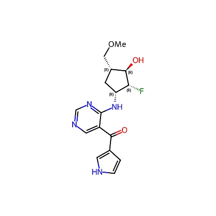 COC[C@H]1C[C@@H](Nc2ncncc2C(=O)c2cc[nH]c2)[C@@H](F)[C@@H]1O